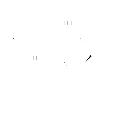 Cc1ncc2c[nH]c(=O)c(N3CCOC[C@@H]3C(C)C)c2n1